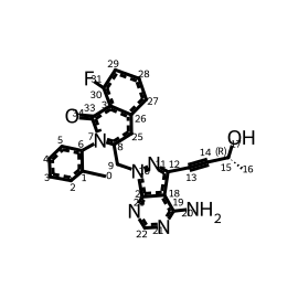 Cc1ccccc1-n1c(Cn2nc(C#C[C@@H](C)O)c3c(N)ncnc32)cc2cccc(F)c2c1=O